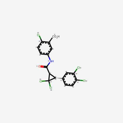 O=C(O)c1cc(NC(=O)C2[C@H](c3ccc(Cl)c(Cl)c3)C2(Cl)Cl)ccc1Cl